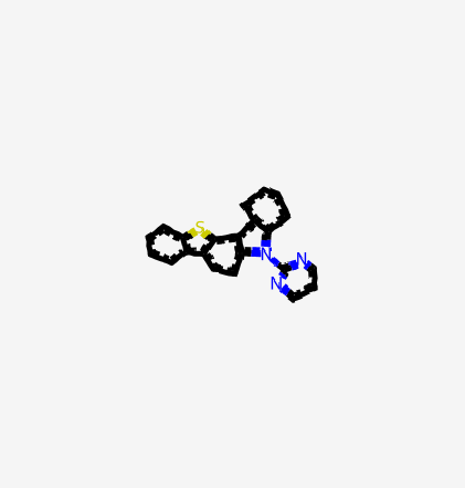 c1cnc(-n2c3ccccc3c3c4sc5ccccc5c4ccc32)nc1